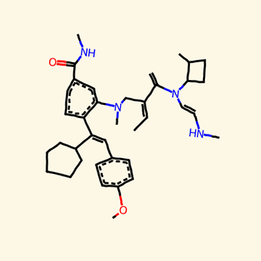 C=C(/C(=C/C)CN(C)c1cc(C(=O)NC)ccc1/C(=C/c1ccc(OC)cc1)C1CCCCC1)N(/C=C/NC)C1CCC1C